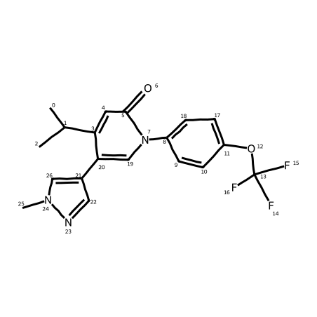 CC(C)c1cc(=O)n(-c2ccc(OC(F)(F)F)cc2)cc1-c1cnn(C)c1